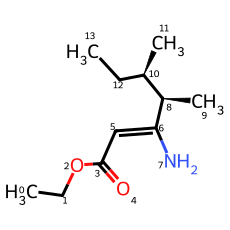 CCOC(=O)/C=C(\N)[C@H](C)[C@H](C)CC